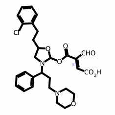 O=C/C(=C\C(=O)O)C(=O)OC1OC(CCc2ccccc2Cl)CN1C(CCN1CCOCC1)c1ccccc1